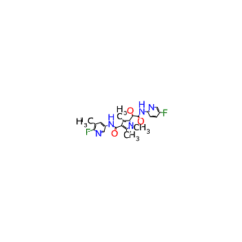 Cc1cc(NC(=O)c2c(C)c(C(=O)C(=O)Nc3ccc(F)cn3)n(C)c2C)cnc1F